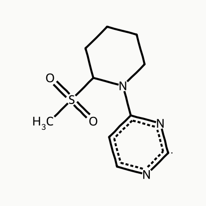 CS(=O)(=O)C1CCCCN1c1ccn[c]n1